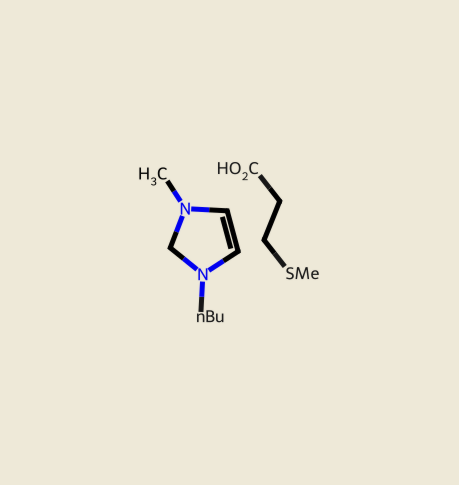 CCCCN1C=CN(C)C1.CSCCC(=O)O